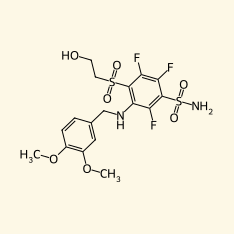 COc1ccc(CNc2c(F)c(S(N)(=O)=O)c(F)c(F)c2S(=O)(=O)CCO)cc1OC